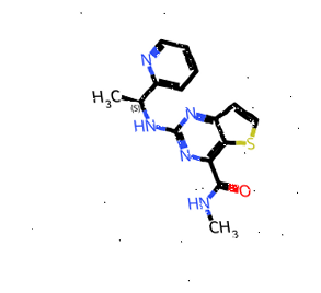 CNC(=O)c1nc(N[C@@H](C)c2ccccn2)nc2ccsc12